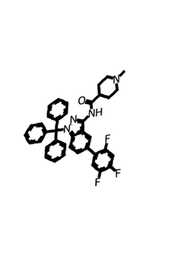 CN1CCC(C(=O)Nc2nn(C(c3ccccc3)(c3ccccc3)c3ccccc3)c3ccc(-c4cc(F)c(F)cc4F)cc23)CC1